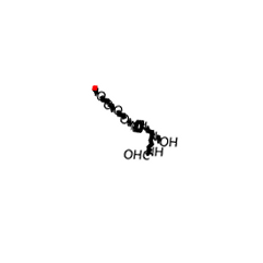 C#CCOCCOCCOCCOCCN1CCN(CCCN(CCO)CCCNC=O)CC1